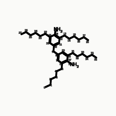 CCCCCCc1cc(Cc2cc(CCCCCC)c(N)c(CCCCCC)c2)cc(CCCCCC)c1N